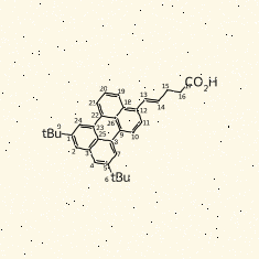 CC(C)(C)c1cc2cc(C(C)(C)C)cc3c4ccc(/C=C/CCC(=O)O)c5cccc(c(c1)c23)c54